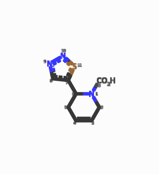 O=C(O)N1CC=CCC1c1cnns1